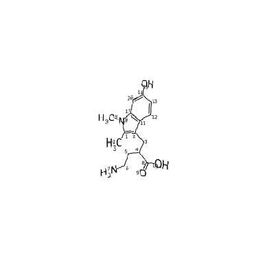 Cc1c(CC(CCN)C(=O)O)c2ccc(O)cc2n1C